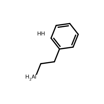 [AlH2][CH2]Cc1ccccc1.[HH]